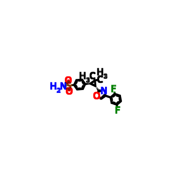 CC1(C)[C@H](c2ccc(S(N)(=O)=O)cc2)[C@H]1c1nc(-c2cc(F)ccc2F)co1